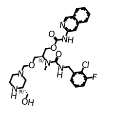 CN(C(=O)NCc1cccc(F)c1Cl)[C@@H](COCN1CCN[C@@H](CO)C1)COC(=O)Nc1cc2ccccc2cn1